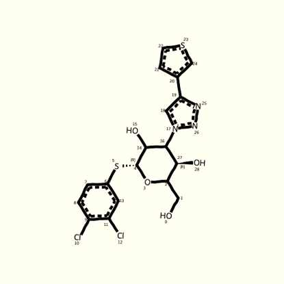 OCC1O[C@H](Sc2ccc(Cl)c(Cl)c2)C(O)C(n2cc(-c3ccsc3)nn2)[C@H]1O